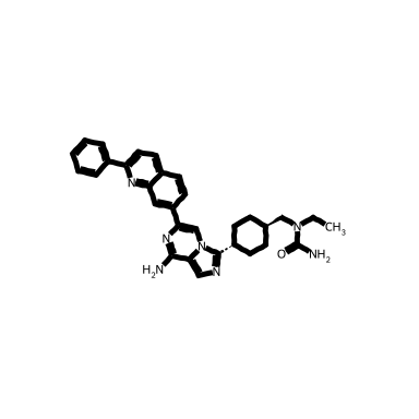 CCN(C[C@H]1CC[C@H](c2ncc3c(N)nc(-c4ccc5ccc(-c6ccccc6)nc5c4)cn32)CC1)C(N)=O